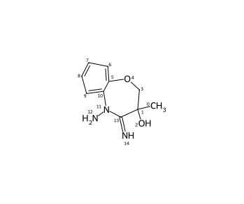 CC1(O)COc2ccccc2N(N)C1=N